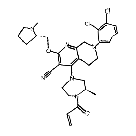 C=CC(=O)N1CCN(c2c(C#N)c(OC[C@@H]3CCCN3C)nc3c2CCN(c2cccc(Cl)c2Cl)C3)C[C@H]1C